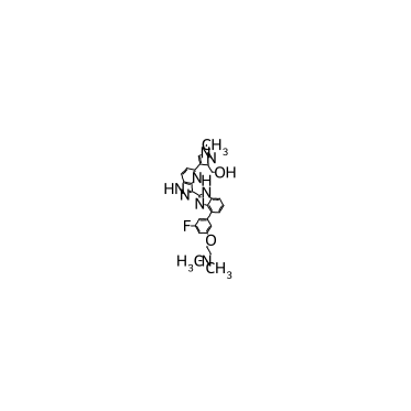 CN(C)CCOc1cc(F)cc(-c2cccc3[nH]c(-c4n[nH]c5ccc(-c6cn(C)nc6CO)nc45)nc23)c1